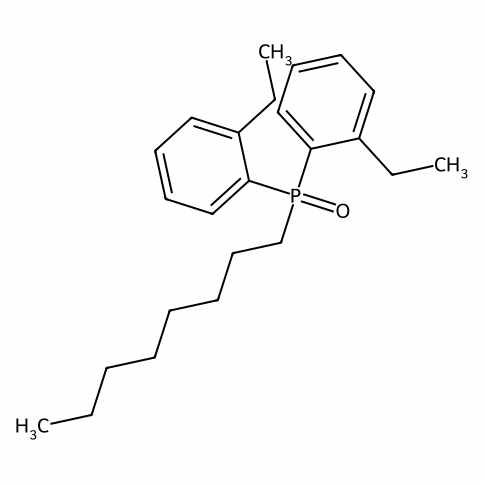 CCCCCCCCP(=O)(c1ccccc1CC)c1ccccc1CC